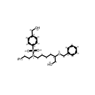 CC(C)CCN(CCCCC(CO)OCc1ccccc1)S(=O)(=O)c1ccc(CO)cc1